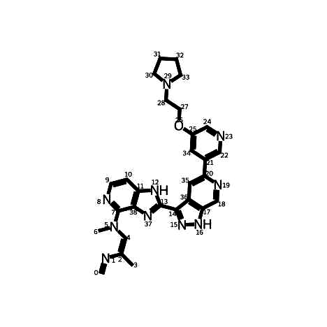 C=N/C(C)=C\N(C)c1nccc2[nH]c(-c3n[nH]c4cnc(-c5cncc(OCCN6CCCC6)c5)cc34)nc12